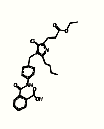 CCCCc1nc(C=CC(=O)OCC)c(Cl)n1Cc1ccc(NC(=O)c2ccccc2C(=O)O)cc1